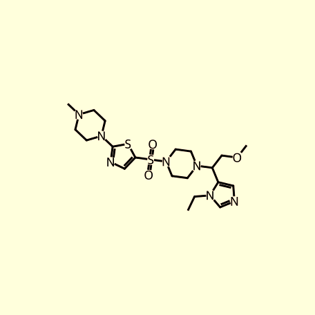 CCn1cncc1C(COC)N1CCN(S(=O)(=O)c2cnc(N3CCN(C)CC3)s2)CC1